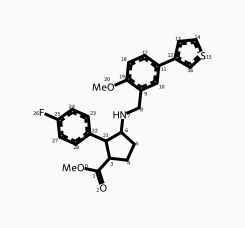 COC(=O)C1CCC(NCc2cc(-c3ccsc3)ccc2OC)C1c1ccc(F)cc1